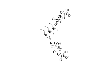 CCN.CCN.CCN.CCN.[O-][Cl+3]([O-])([O-])O.[O-][Cl+3]([O-])([O-])O.[O-][Cl+3]([O-])([O-])O.[O-][Cl+3]([O-])([O-])O